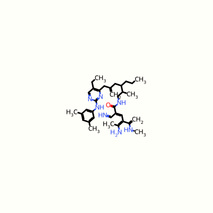 C=C(Cc1nc(Nc2cc(C)cc(C)c2)ncc1CC)CC(CCC)C(C)CNC(=O)/C(C=N)=C/C(C(=C)NC)=C(\C)N